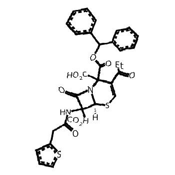 CCC(=O)C1=CS[C@@H]2N(C(=O)C2(NC(=O)Cc2cccs2)C(=O)O)C1(C(=O)O)C(=O)OC(c1ccccc1)c1ccccc1